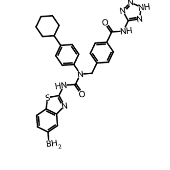 Bc1ccc2sc(NC(=O)N(Cc3ccc(C(=O)Nc4nn[nH]n4)cc3)c3ccc(C4CCCCC4)cc3)nc2c1